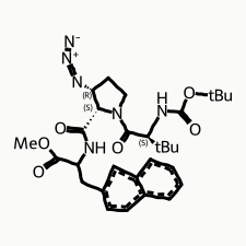 COC(=O)C(Cc1ccc2ccccc2c1)NC(=O)[C@@H]1[C@H](N=[N+]=[N-])CCN1C(=O)[C@@H](NC(=O)OC(C)(C)C)C(C)(C)C